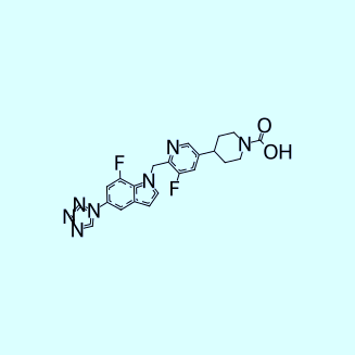 O=C(O)N1CCC(c2cnc(Cn3ccc4cc(-n5cnnn5)cc(F)c43)c(F)c2)CC1